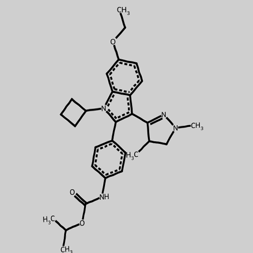 CCOc1ccc2c(C3=NN(C)CC3C)c(-c3ccc(NC(=O)OC(C)C)cc3)n(C3CCC3)c2c1